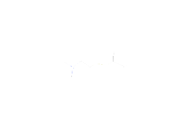 CC(C)C(SSCCN(C)C)C(C)C